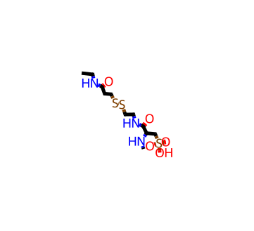 CCNC(=O)CCSSCCNC(=O)C(CS(=O)(=O)O)NC